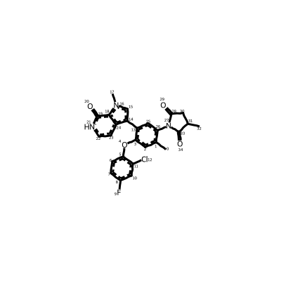 Cc1cc(Oc2ccc(F)cc2Cl)c(-c2cn(C)c3c(=O)[nH]ccc23)cc1N1C(=O)CC(C)C1=O